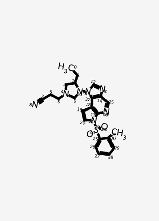 CCC1CN(CCC#N)CN1n1cnc2cnc3c(ccn3S(=O)(=O)c3ccccc3C)c21